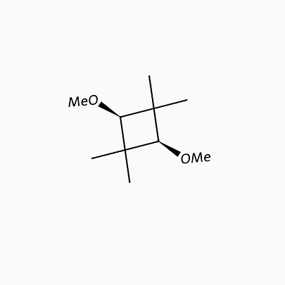 CO[C@H]1C(C)(C)[C@@H](OC)C1(C)C